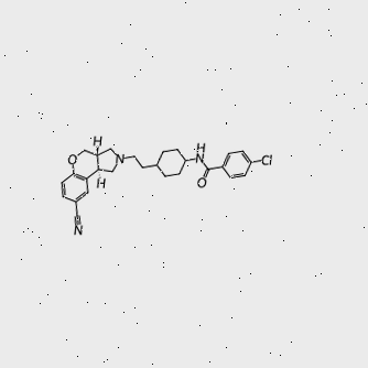 N#Cc1ccc2c(c1)[C@@H]1CN(CCC3CCC(NC(=O)c4ccc(Cl)cc4)CC3)C[C@H]1CO2